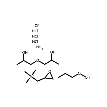 CC(O)COCC(C)O.CCCOO.C[N+](C)(C)CC1CO1.Cl.Cl.Cl.N.[Cl-]